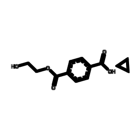 C1CC1.O=C(O)c1ccc(C(=O)OCCO)cc1